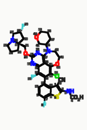 N#Cc1c(NC(=O)O)sc2c(F)ccc(-c3c(Cl)c4c5c(nc(OC[C@@]67CCCN6C[C@H](F)C7)nc5c3F)N(C3CCCOC3)CCO4)c12